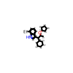 CCc1cccc2c(C(C3CCCCC3)C(C)OC3CCCC3)c[nH]c12